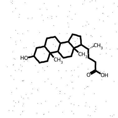 C[C@H](CCC(=O)O)C1CCC2C3CCC4CC(O)CCC4(C)C3CCC21C